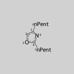 CCCCCc1coc(CCCCC)n1